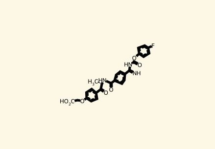 C[C@H](NC(=O)c1ccc(C(=N)NC(=O)Oc2ccc(F)cc2)cc1)C(=O)c1ccc(OCC(=O)O)cc1